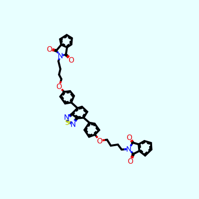 O=C1c2ccccc2C(=O)N1CCCCOc1ccc(-c2ccc(-c3ccc(OCCCCN4C(=O)c5ccccc5C4=O)cc3)c3nsnc23)cc1